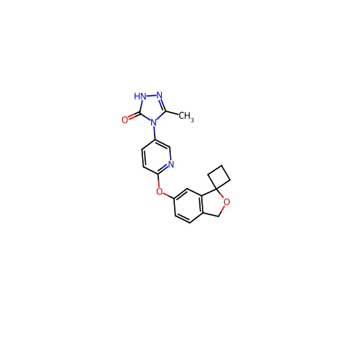 Cc1n[nH]c(=O)n1-c1ccc(Oc2ccc3c(c2)C2(CCC2)OC3)nc1